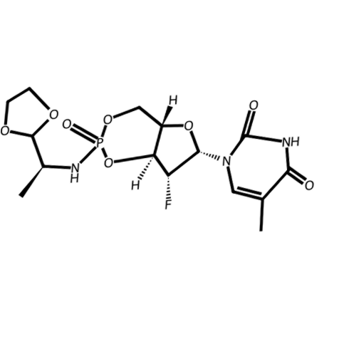 Cc1cn([C@H]2O[C@H]3COP(=O)(N[C@@H](C)C4OCCO4)O[C@@H]3[C@H]2F)c(=O)[nH]c1=O